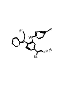 CCC(CC(=O)O)c1ccc(N(CC(C)C)C2CCCCC2)c(Nc2ccc(F)cc2)c1